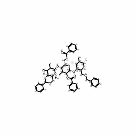 CC1C(C)[C@@H]2OC(c3ccccc3)OC[C@@H]2O[C@@H]1O[C@H]1C(C)C(OC(=O)c2ccccc2)[C@H](O[C@@H]2C(COCc3ccccc3)O[C@@H](C)C(C)[C@H]2C)O[C@H]1COC(=O)c1ccccc1